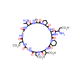 CC(C)C1NC(=O)C(C(C)N)NC(=O)CNC(=O)C(CC(=O)O)NC(=O)CNC(=O)C(CC(=O)O)NC(=O)C(C(C)C(=O)O)NC(=O)C2CCCCN2C(=O)C(NC(=O)C(N)CC(=O)O)C(C)NC(=O)C2CCCN2C1=O